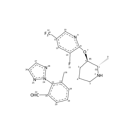 C[C@@H]1NCCC[C@H]1Oc1ncc(C(F)(F)F)cc1F.Cc1cccc(C=O)c1-n1nccn1